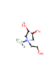 C[N+](CCO)(CCO)CCO.[Cl-]